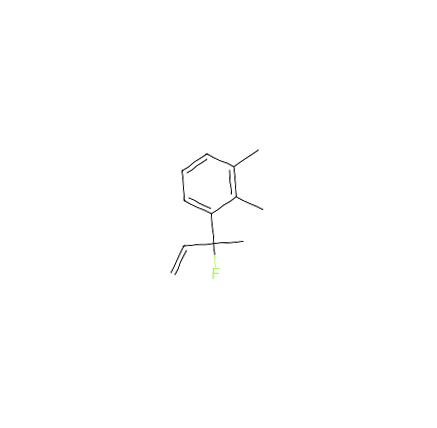 C=CC(C)(F)c1cccc(C)c1C